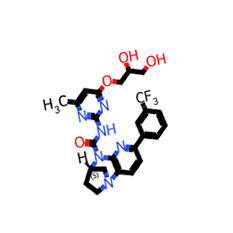 Cc1cc(OCC(O)CO)nc(NC(=O)N2c3nc(-c4cccc(C(F)(F)F)c4)ccc3N3CC[C@H]2C3)n1